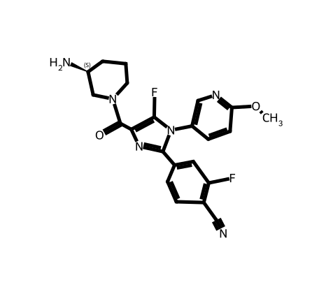 COc1ccc(-n2c(-c3ccc(C#N)c(F)c3)nc(C(=O)N3CCC[C@H](N)C3)c2F)cn1